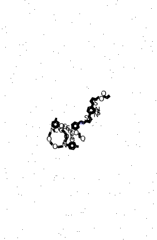 C=CC(=O)OCc1ccc(-c2ccc(-c3ccc(/C=C/c4ccc(N5CCOc6cc(C)ccc6N6CCOCCOCCN(CCOCCOCC6)c6ccc(C)cc6OCC5)c(OCCOC)c4)s3)c3nsnc23)s1